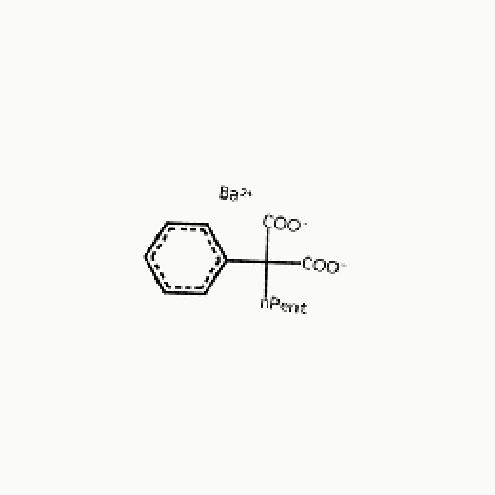 CCCCCC(C(=O)[O-])(C(=O)[O-])c1ccccc1.[Ba+2]